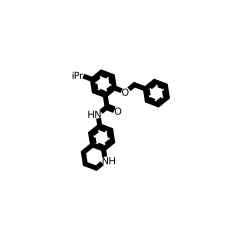 CC(C)c1ccc(OCc2ccccc2)c(C(=O)Nc2ccc3c(c2)CCCN3)c1